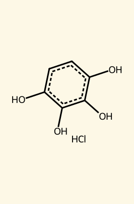 Cl.Oc1ccc(O)c(O)c1O